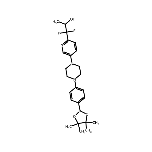 CC(O)C(F)(F)c1ccc(N2CCN(c3ccc(B4OC(C)(C)C(C)(C)O4)cc3)CC2)cn1